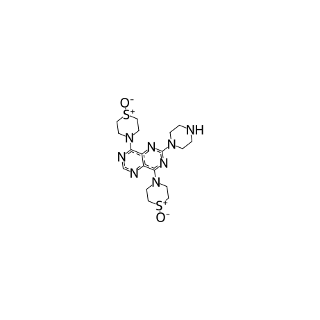 [O-][S+]1CCN(c2nc(N3CCNCC3)nc3c(N4CC[S+]([O-])CC4)ncnc23)CC1